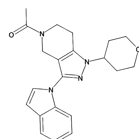 CC(=O)N1CCc2c(c(-n3ccc4ccccc43)nn2C2CCOCC2)C1